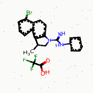 CC1CN(C(=N)Nc2ccccc2)c2ccc3c(Br)cccc3c21.O=C(O)C(F)(F)F